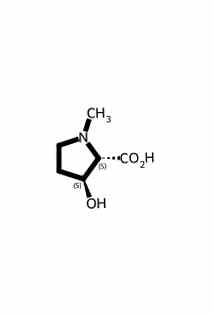 CN1CC[C@H](O)[C@H]1C(=O)O